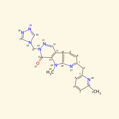 Cc1cccc(Cc2ccc3c4cnn(Cn5cnnc5)c(=O)c4n(C)c3n2)n1